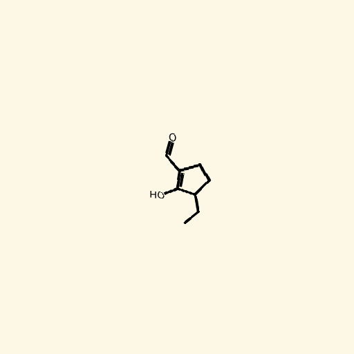 CCC1CCC(C=O)=C1O